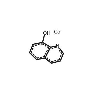 Oc1cccc2cccnc12.[Co]